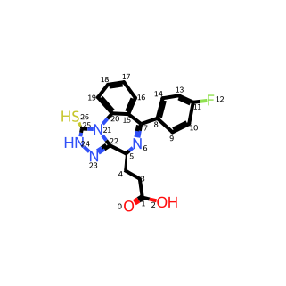 O=C(O)CC[C@@H]1N=C(c2ccc(F)cc2)c2ccccc2N2C1=NN[C@H]2S